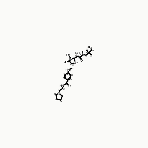 CCN1C(=O)[C@@H](CNc2ccc(C(=O)NCCN3CCCC3)cc2)SC1[C@H](N)C(=O)NCC(C)(C)CO